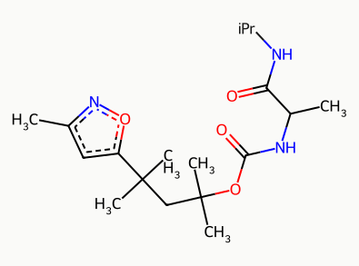 Cc1cc(C(C)(C)CC(C)(C)OC(=O)NC(C)C(=O)NC(C)C)on1